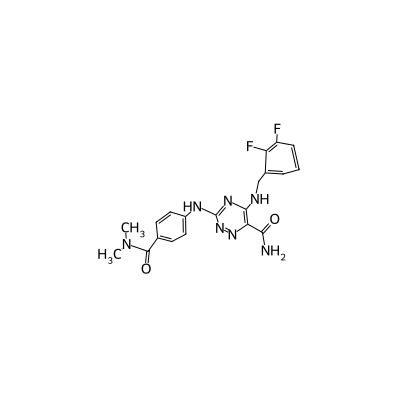 CN(C)C(=O)c1ccc(Nc2nnc(C(N)=O)c(NCc3cccc(F)c3F)n2)cc1